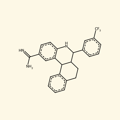 N=C(N)c1ccc2c(c1)C1c3ccccc3CCC1C(c1cccc(C(F)(F)F)c1)N2